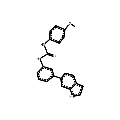 COc1ccc(NC(=O)Nc2cccc(-c3ccc4cc[nH]c4c3)c2)cc1